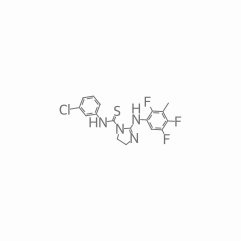 Cc1c(F)c(F)cc(NC2=NCCN2C(=S)Nc2cccc(Cl)c2)c1F